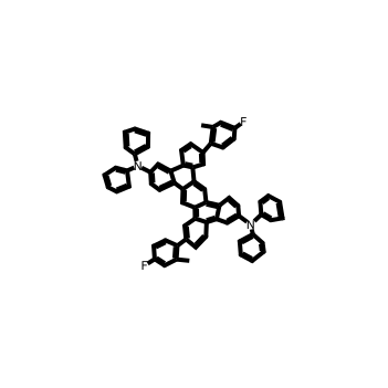 Cc1cc(F)ccc1-c1ccc2c(c1)c1cc3c4ccc(N(c5ccccc5)c5ccccc5)cc4c4ccc(-c5ccc(F)cc5C)cc4c3cc1c1ccc(N(c3ccccc3)c3ccccc3)cc21